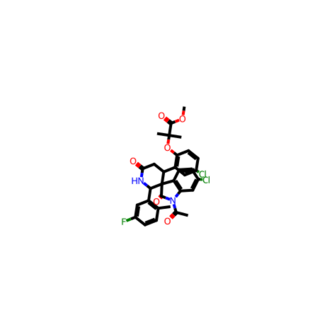 COC(=O)C(C)(C)Oc1ccc(Cl)cc1C1CC(=O)NC(c2cc(F)ccc2C)C12C(=O)N(C(C)=O)c1cc(Cl)ccc12